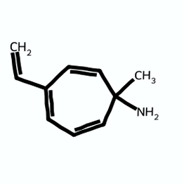 C=CC1=CC=CC(C)(N)C=C1